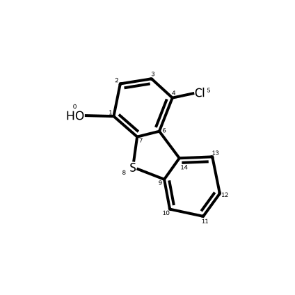 Oc1ccc(Cl)c2c1sc1ccccc12